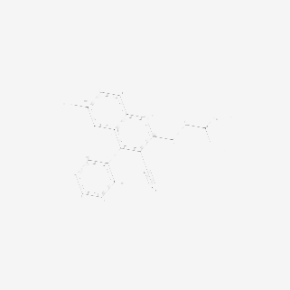 CC(C)CCc1nc2ccc(O)cc2c(-c2ccccc2)c1C#N